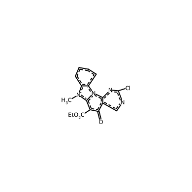 CCOC(=O)c1c(=O)c2cnc(Cl)nc2n2c3ccccc3n(C)c12